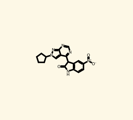 O=C1Nc2ccc([N+](=O)[O-])cc2C1c1ncnc2nn(C3CCCC3)cc12